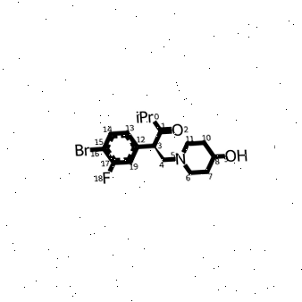 CC(C)C(=O)[C@@H](CN1CCC(O)CC1)c1ccc(Br)c(F)c1